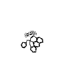 C1=CC(Cc2ccccc2)(Cc2ccccc2)c2cccc3cccc1c23.N=C=O.N=C=O